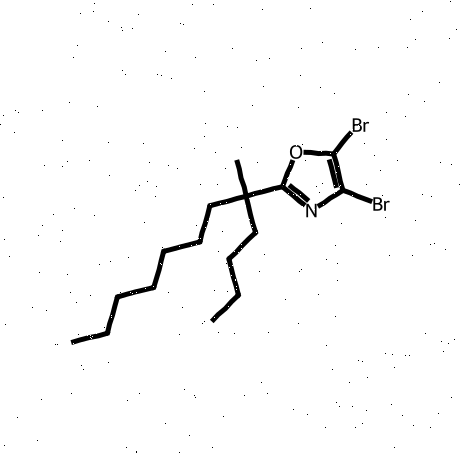 CCCCCCCC(C)(CCCC)c1nc(Br)c(Br)o1